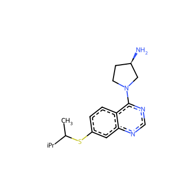 CC(C)C(C)Sc1ccc2c(N3CC[C@@H](N)C3)ncnc2c1